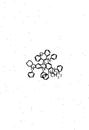 CC1(C)N(c2ccccc2)c2cc3c4c(c2N1c1ccccc1)N(c1ccccc1)c1cc2c(cc1B4C1=C(c4ccccc4Oc4ccccc41)N3c1ccccc1)C1CCCCC1N2c1ccccc1